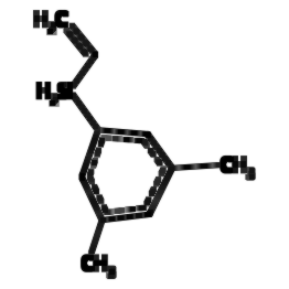 C=C[SiH2]c1cc(C)cc(C)c1